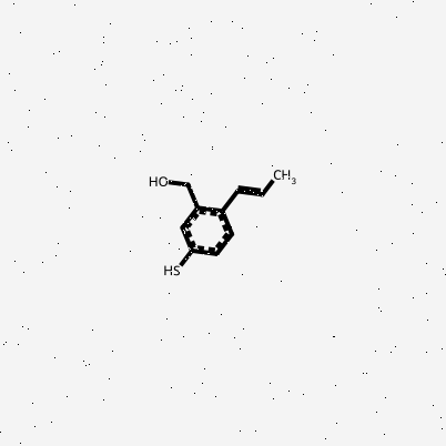 CC=Cc1ccc(S)cc1CO